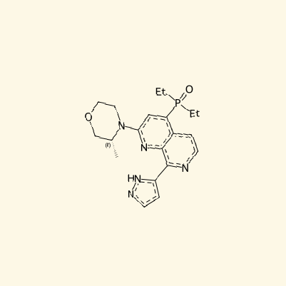 CCP(=O)(CC)c1cc(N2CCOC[C@H]2C)nc2c(-c3ccn[nH]3)nccc12